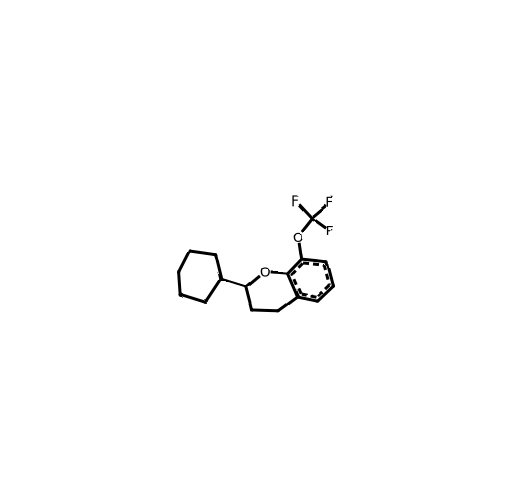 FC(F)(F)Oc1cccc2c1OC(C1CCCCC1)CC2